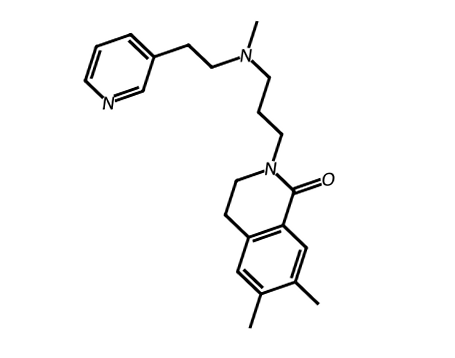 Cc1cc2c(cc1C)C(=O)N(CCCN(C)CCc1cccnc1)CC2